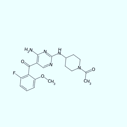 COc1cccc(F)c1C(=O)c1cnc(NC2CCN(C(C)=O)CC2)nc1N